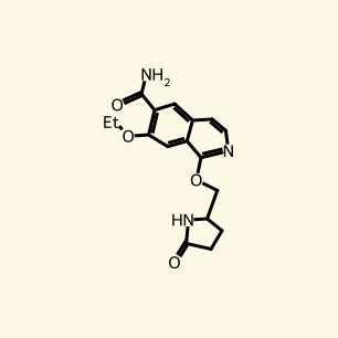 CCOc1cc2c(OCC3CCC(=O)N3)nccc2cc1C(N)=O